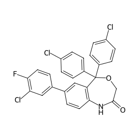 O=C1COC(c2ccc(Cl)cc2)(c2ccc(Cl)cc2)c2cc(-c3ccc(F)c(Cl)c3)ccc2N1